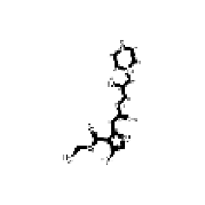 CCOC(=O)c1c(C)c[nH]c1CC(=O)NCC(O)CN1CCOCC1